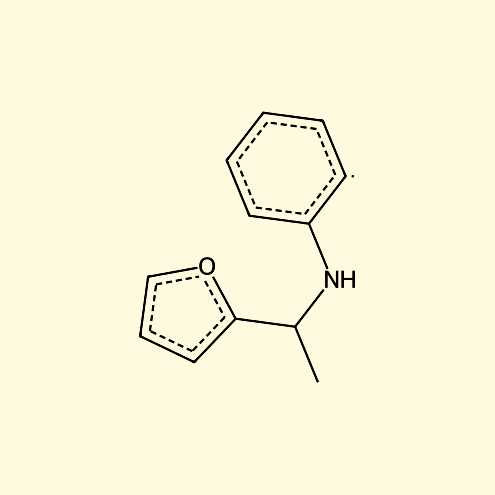 CC(Nc1[c]cccc1)c1ccco1